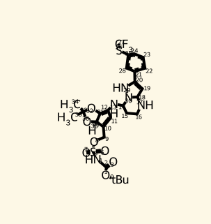 CC(C)(C)OC(=O)NS(=O)(=O)OCC1=CC(NC2CCNC3C=C(c4cccc(SC(F)(F)F)c4)NN32)=C2OC(C)(C)O[C@H]12